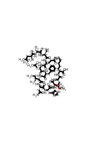 CC[C@H](C)[C@H](NC(=O)[C@H](Cc1c[nH]cn1)NC(=O)[C@H](CC(N)=O)NC(=O)[C@@H](NC(=O)[C@H](Cc1ccccc1)NC(=O)[C@H](CC(C)C)NC(=O)[C@H](CCC(N)=O)NC(=O)[C@H](CS)NC(=O)[C@H](C)NC(=O)[C@@H](N)CC(C)C)[C@@H](C)CC)C(=O)N[C@@H](CC(C)C)C(=O)N[C@@H](CCCCN)C(=O)O